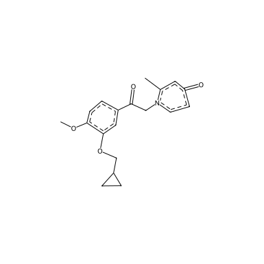 COc1ccc(C(=O)Cn2ccc(=O)cc2C)cc1OCC1CC1